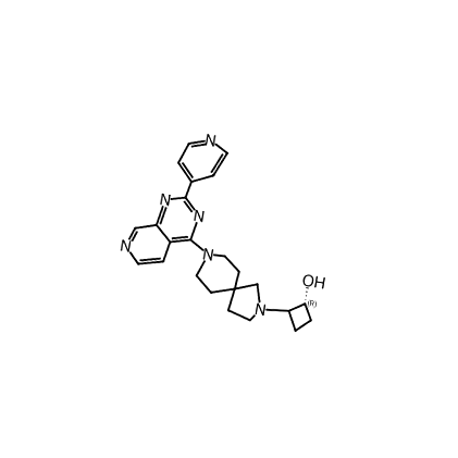 O[C@@H]1CCC1N1CCC2(CCN(c3nc(-c4ccncc4)nc4cnccc34)CC2)C1